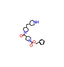 O=C(OCc1ccccc1)N1CCC(C(=O)N2CCC(CC3CCNCC3)CC2)CC1